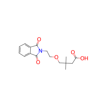 CC(C)(COCCN1C(=O)c2ccccc2C1=O)CC(=O)O